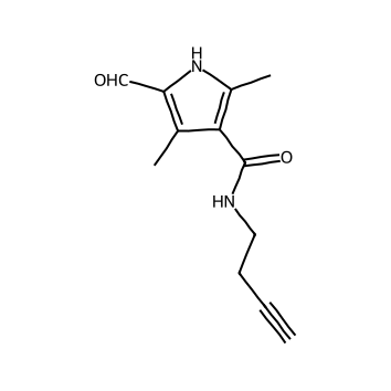 C#CCCNC(=O)c1c(C)[nH]c(C=O)c1C